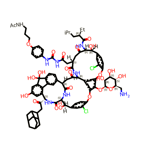 CC[C@H](CC(C)C)C(=O)N[C@H]1C(=O)C[C@@H](CC(=O)NC(=O)Nc2ccc(OCCCNC(C)=O)cc2)C(=O)N[C@H]2C(=O)C[C@H]3C(=O)N[C@H](C(=O)N[C@H](C(=O)CC4C5CC6CC(C5)CC4C6)c4cc(O)cc5c4-c4cc3ccc4C5(O)O)[C@H](O)c3ccc(c(Cl)c3)Oc3cc2cc(c3O[C@@H]2O[C@H](CN)[C@@H](O)[C@H](O)[C@H]2O)Oc2ccc(cc2Cl)[C@H]1O